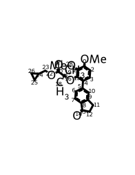 COc1ccc(-c2ccc3c(c2)CCC3=O)c(OC(C)(C)C(=O)OCC2CC2)c1OC